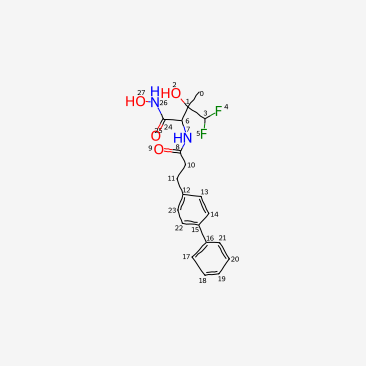 CC(O)(C(F)F)C(NC(=O)CCc1ccc(-c2ccccc2)cc1)C(=O)NO